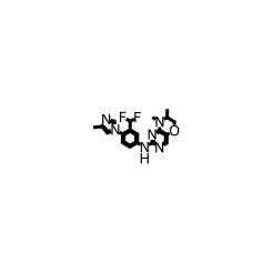 Cc1cn(-c2ccc(Nc3ncc4c(n3)N(C)C(C)CO4)cc2C(F)F)cn1